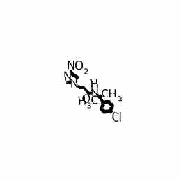 CC(C)(NC(=O)CCn1cnc([N+](=O)[O-])c1)c1ccc(Cl)cc1